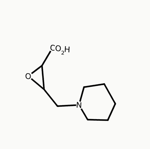 O=C(O)C1OC1CN1CCCCC1